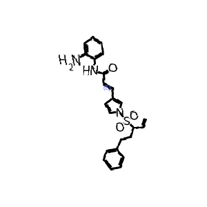 C=CC(CCc1ccccc1)S(=O)(=O)n1ccc(/C=C/C(=O)Nc2ccccc2N)c1